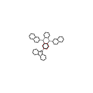 c1ccc2c(c1)C1(c3ccc4ccccc4c3)c3ccccc3C2(c2ccc3ccccc3c2)c2cc(-n3c4ccccc4c4ccccc43)ccc21